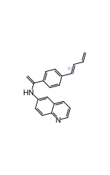 C=C/C=C/c1ccc(C(=C)Nc2ccc3ncccc3c2)cc1